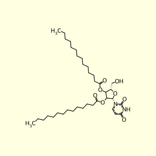 CCCCCCCCCCCCCC(=O)OC1C(OC(=O)CCCCCCCCCCCCC)[C@@H](n2ccc(=O)[nH]c2=O)O[C@H]1CO